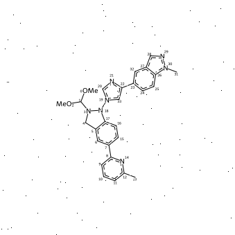 COC(OC)N1Cc2cc(-c3cccc(C)n3)ccc2N1n1cnc(-c2ccc3c(cnn3C)c2)c1